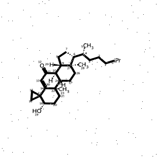 CC(C)CCC[C@@H](C)[C@H]1CC[C@H]2[C@@H]3C(=O)C=C4C5(CC5)[C@@H](O)CC[C@]4(C)[C@H]3CC[C@]12C